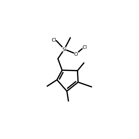 CC1=C(C)C(C)C(C[Si](C)(Cl)OCl)=C1C